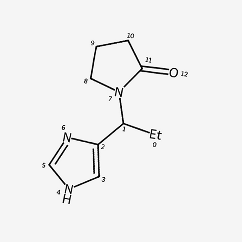 CCC(c1c[nH]cn1)N1CCCC1=O